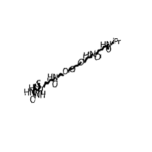 CC(C)CNC(=O)CCCC(=O)NCCCOCCOCCOCCCNC(=O)CCCC[C@H]1SC[C@@H]2NC(=O)N[C@@H]21